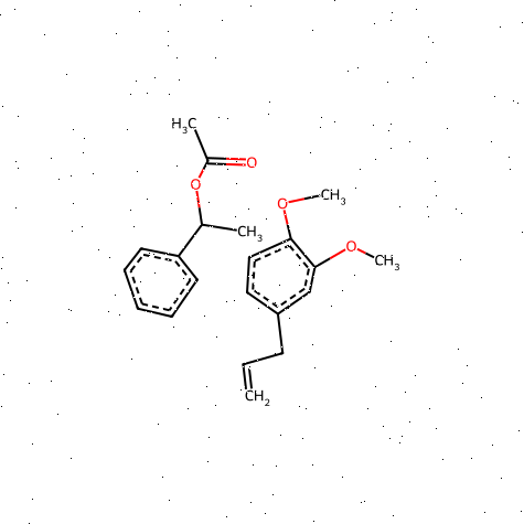 C=CCc1ccc(OC)c(OC)c1.CC(=O)OC(C)c1ccccc1